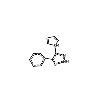 C1=C[SH](c2n[nH]nc2-c2ccccc2)C=C1